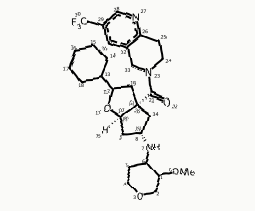 COC1COCCC1N[C@@H]1C[C@H]2OC(C3CCCCC3)C[C@@]2(C(=O)N2CCc3ncc(C(F)(F)F)cc3C2)C1